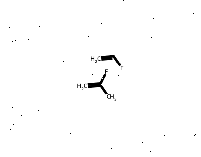 C=C(C)F.C=CF